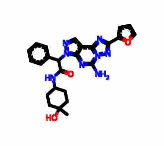 CC1(O)CCC(NC(=O)C(c2ccccc2)n2ncc3c2nc(N)n2nc(-c4ccco4)nc32)CC1